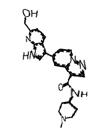 CN1CCC(NC(=O)c2cnn3ccc(-c4c[nH]c5nc(CO)ccc45)cc23)CC1